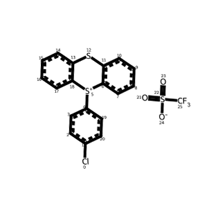 Clc1ccc([S+]2c3ccccc3Sc3ccccc32)cc1.O=S(=O)([O-])C(F)(F)F